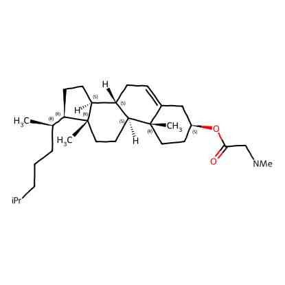 CNCC(=O)O[C@H]1CC[C@@]2(C)C(=CC[C@H]3[C@@H]4CC[C@H]([C@H](C)CCCC(C)C)[C@@]4(C)CC[C@@H]32)C1